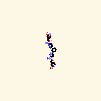 COc1cc(CC(=O)Nc2ccc([C@H]3CCC[C@H](c4ccc(NC(=O)Cc5ccnc(OC)c5)nn4)C3)nn2)ccn1